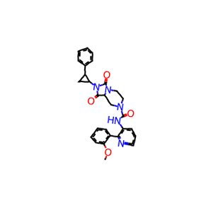 COc1ccccc1-c1ncccc1NC(=O)N1CCN2C(=O)N(C3CC3c3ccccc3)C(=O)C2C1